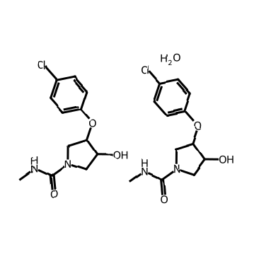 CNC(=O)N1CC(O)C(Oc2ccc(Cl)cc2)C1.CNC(=O)N1CC(O)C(Oc2ccc(Cl)cc2)C1.O